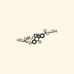 CC1(C)c2cc(OCC[C@@H](O)CO)ccc2C(=O)c2c1[nH]c1cc(C(=O)OCCO)ccc21